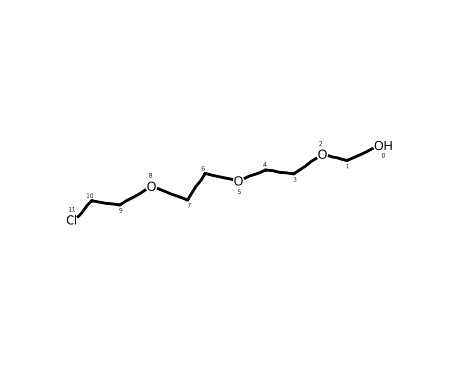 OCOCCOCCOCCCl